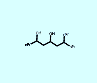 CCCC(O)CC(O)CC(CCC)CCC